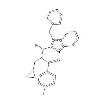 Cc1ccc(C(=O)N(CC2CC2)C(c2nc3ccccc3n2Cc2ccccc2)C(C)C)cc1